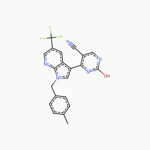 Cc1ccc(Cn2cc(-c3nc(O)ncc3C#N)c3cc(C(F)(F)F)cnc32)cc1